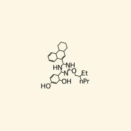 CCCC(CC)COC1=NC(C2C=CC(O)=CC2O)NC(C2=CC3CCCCC3C3C=CC=CC23)N1